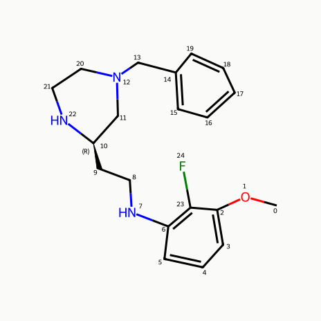 COc1cccc(NCC[C@@H]2CN(Cc3ccccc3)CCN2)c1F